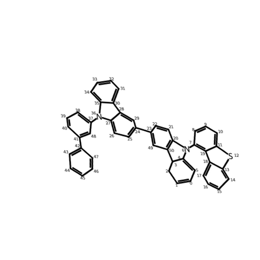 C1=CCC2C(=C1)N(c1cccc3sc4ccccc4c13)c1ccc(-c3ccc4c(c3)c3ccccc3n4-c3cccc(-c4ccccc4)c3)cc12